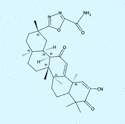 CC1(C)C(=O)C(C#N)=C[C@]2(C)C3=CC(=O)[C@@H]4[C@@H]5C[C@@](C)(c6nnc(C(N)=O)o6)CC[C@]5(C)CC[C@@]4(C)[C@]3(C)CCC12